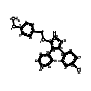 COc1ccc(COc2[nH]nc(-c3ccc(Cl)cc3)c2-c2ccncc2)cc1